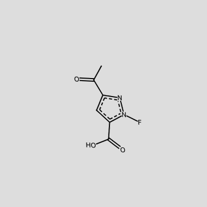 CC(=O)c1cc(C(=O)O)n(F)n1